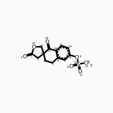 O=C1CC2(CCc3cc(OS(=O)(=O)C(F)(F)F)ccc3C2=O)CO1